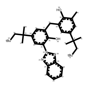 Cc1cc(C(C)(C)CC(C)(C)C)cc(Cc2cc(C(C)(C)CC(C)(C)C)cc(-n3nc4ccccc4n3)c2O)c1O